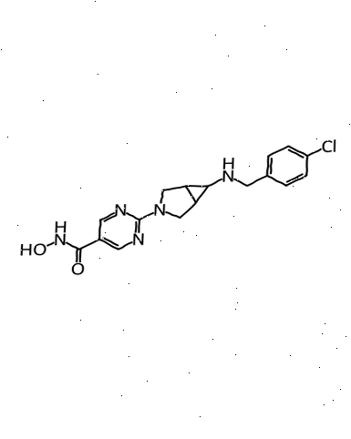 O=C(NO)c1cnc(N2CC3C(C2)C3NCc2ccc(Cl)cc2)nc1